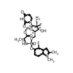 Cc1cc2c(F)c(O[P@](=O)(N[C@@H](C)C(=O)OC(C)C)OC[C@H]3O[C@@H](n4ccc(=O)[nH]c4=O)[C@](C)(F)[C@@H]3O)ccc2n1C